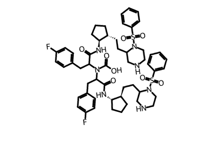 O=C(N[C@H]1CCC[C@@H]1CCC1CNCCN1S(=O)(=O)c1ccccc1)C(Cc1ccc(F)cc1)N(C(=O)O)C(Cc1ccc(F)cc1)C(=O)N[C@H]1CCC[C@@H]1CCC1CNCCN1S(=O)(=O)c1ccccc1